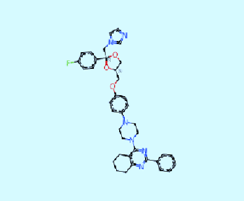 Fc1ccc([C@]2(Cn3ccnc3)OC[C@@H](COc3ccc(N4CCN(c5nc(-c6ccccc6)nc6c5CCCC6)CC4)cc3)O2)cc1